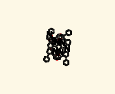 N#Cc1c(-n2c3ccccc3c3c(-c4ccccc4)cccc32)c(-n2c3ccccc3c3c(-c4ccccc4)cccc32)c(-c2cccc3c2sc2cnccc23)c(-n2c3ccccc3c3c(-c4ccccc4)cccc32)c1-n1c2ccccc2c2c(-c3ccccc3)cccc21